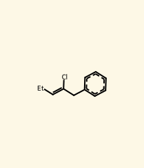 CCC=C(Cl)Cc1ccccc1